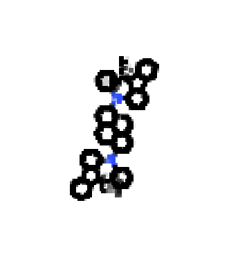 CC1(C)c2ccccc2-c2cccc(N(c3ccccc3)c3ccc4ccc5c(N(c6ccccc6)c6cccc7c6C(C)(C)c6ccccc6-7)ccc6ccc3c4c65)c21